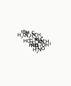 CN(Cc1cc(N(C)C)c2c(c1O)C(=O)C1=C(O)[C@]3(O)C(=O)C(C(N)=O)=C(O)[C@@H](N(C)C)[C@@H]3C[C@@H]1C2)CC(C)(C)C